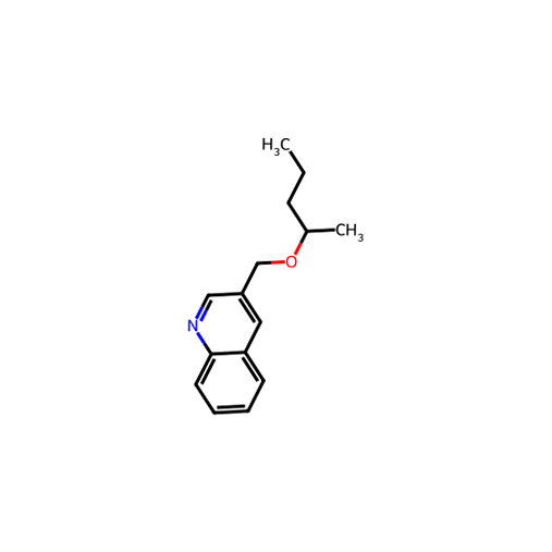 CCCC(C)OCc1cnc2ccccc2c1